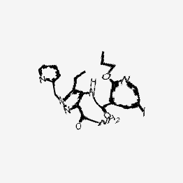 CCCOc1ncc(I)cc1C(=O)Nc1c(C(N)=O)nn(Cc2ccccn2)c1CC